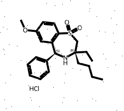 CCCC[C@]1(CC)CS(=O)(=O)c2ccc(OC)cc2[C@H](c2ccccc2)N1.Cl